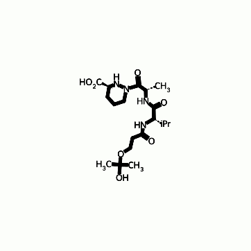 CC(C)[C@H](NC(=O)CCOC(C)(C)O)C(=O)N[C@@H](C)C(=O)N1CCC[C@@H](C(=O)O)N1